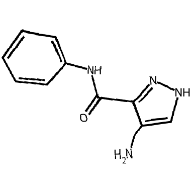 Nc1c[nH]nc1C(=O)Nc1ccccc1